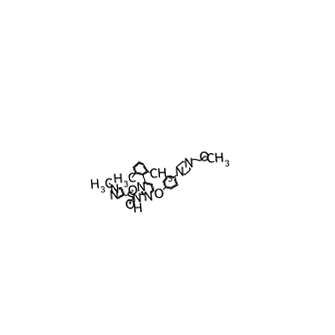 COCCN1CCN(c2ccc(Oc3cc(-c4c(C)cccc4C)nc(NS(=O)(=O)c4cnn(C)c4)n3)cc2)CC1